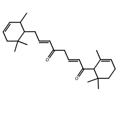 CC1=CCCC(C)(C)C1C(=O)C=CCC(=O)C=CCC1C(C)C=CCC1(C)C